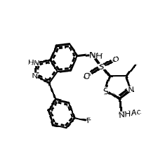 CC(=O)NC1=NC(C)C(S(=O)(=O)Nc2ccc3[nH]nc(-c4cccc(F)c4)c3c2)S1